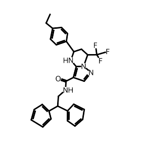 CCc1ccc(C2CC(C(F)(F)F)n3ncc(C(=O)NCC(c4ccccc4)c4ccccc4)c3N2)cc1